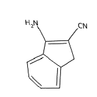 N#CC1=C(N)c2ccccc2C1